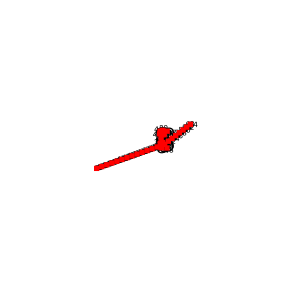 CC#CC#CC#CC#CC#CC#CC#CC#CC#CC#CC#CC#CC(=O)N(C)[C@@H](CO[C@H]1OC(COC)[C@H](C)[C@H](C)C1C)[C@@H]1OC(C)(C)O[C@@H]1C=CCCCCCCCCCCCC